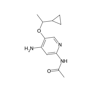 CC(=O)Nc1cc(N)c(OC(C)C2CC2)cn1